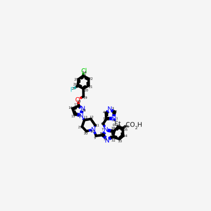 CCn1cncc1Cn1c(CN2CCC(n3ccc(OCc4ccc(Cl)cc4F)n3)CC2)nc2ccc(C(=O)O)cc21